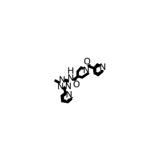 Cc1nc(NC(=O)C2CCN(C(=O)c3cccnc3)CC2)nc(-c2ccccn2)n1